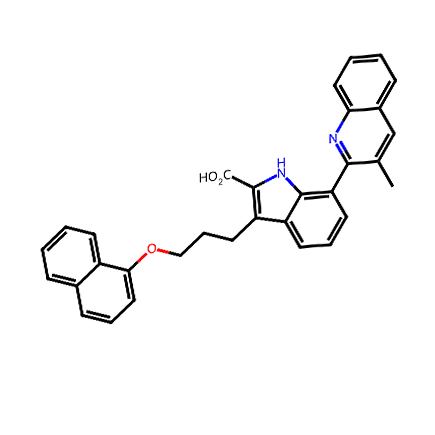 Cc1cc2ccccc2nc1-c1cccc2c(CCCOc3cccc4ccccc34)c(C(=O)O)[nH]c12